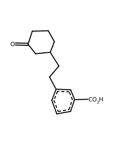 O=C1CCCC(CCc2cccc(C(=O)O)c2)C1